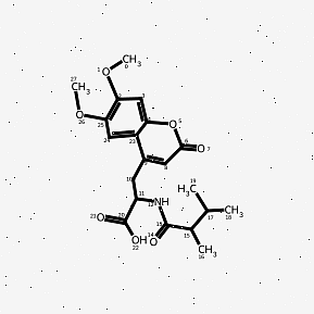 COc1cc2oc(=O)cc(CC(NC(=O)C(C)C(C)C)C(=O)O)c2cc1OC